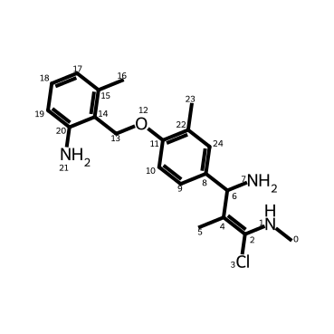 CN/C(Cl)=C(/C)C(N)c1ccc(OCc2c(C)cccc2N)c(C)c1